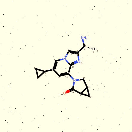 C[C@@H](N)c1cn2cc(C3CC3)cc(N3CC4CC4C3=O)c2n1